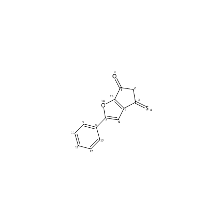 O=C1CC(=S)c2cc(-c3ccccc3)oc21